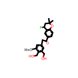 COc1cc(CC(=O)c2ccc3c(c2)C(F)CC(C)(C)O3)cc(CO)c1CO